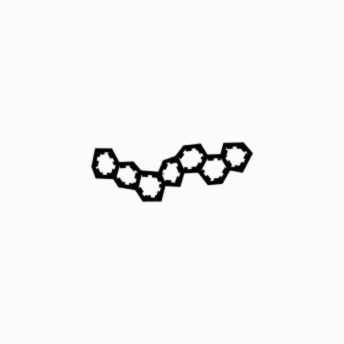 c1ccc2cc3c(ccc4cc5c(ccc6c7ccccc7ccc56)cc43)cc2c1